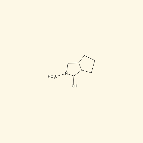 O=C(O)N1CC2CCCC2C1O